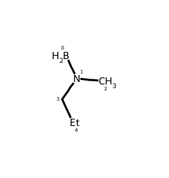 BN(C)CCC